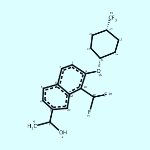 CC(O)c1ccc2ccc(O[C@H]3CC[C@@H](C(F)(F)F)CC3)c(C(F)F)c2c1